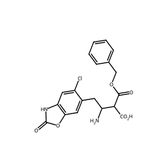 NC(Cc1cc2oc(=O)[nH]c2cc1Cl)C(C(=O)O)C(=O)OCc1ccccc1